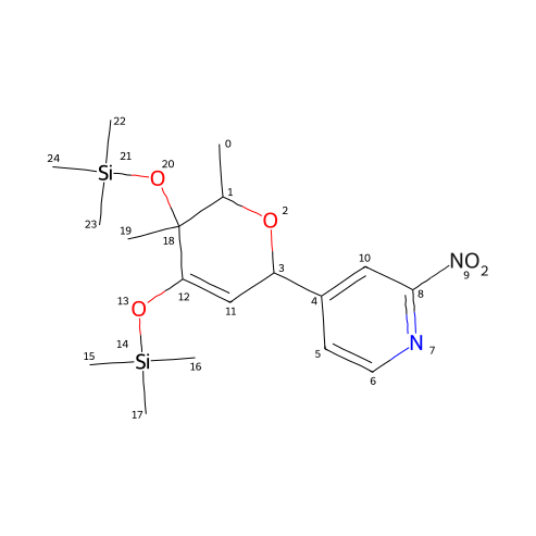 CC1OC(c2ccnc([N+](=O)[O-])c2)C=C(O[Si](C)(C)C)C1(C)O[Si](C)(C)C